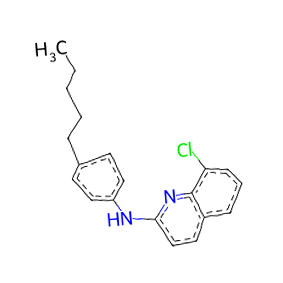 CCCCCc1ccc(Nc2ccc3cccc(Cl)c3n2)cc1